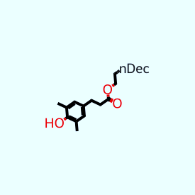 CCCCCCCCCCCCOC(=O)CCc1cc(C)c(O)c(C)c1